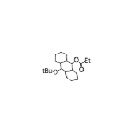 CCC(=O)OC1C2CCCCC2C(OC(C)(C)C)C2CCCCC21